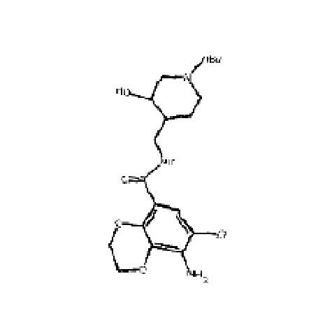 CCCCN1CCC(CNC(=O)c2cc(Cl)c(N)c3c2OCCO3)C(O)C1